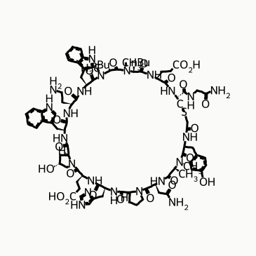 CCCC[C@H]1C(=O)N(C)[C@@H](CCCC)C(=O)N[C@@H](CCC(=O)O)C(=O)N[C@H](C(=O)NCC(N)=O)CSCC(=O)NC(Cc2ccc(O)cc2)C(=O)N(C)[C@@H](C)C(=O)N[C@@H](CC(N)=O)C(=O)N2CCC[C@H]2C(=O)N[C@@H](Cc2c[nH]cn2)C(=O)N[C@@H](CCC(=O)O)C(=O)N2C[C@H](O)C[C@H]2C(=O)N[C@@H](Cc2c[nH]c3ccccc23)C(=O)N[C@@H](CCN)C(=O)N[C@@H](Cc2c[nH]c3ccccc23)C(=O)N1C